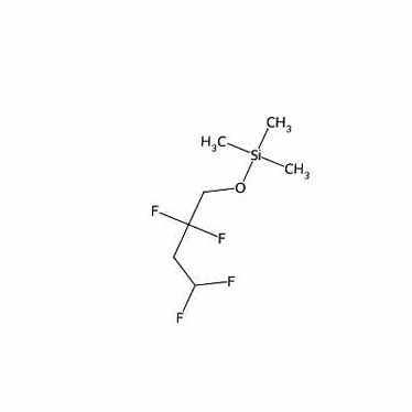 C[Si](C)(C)OCC(F)(F)CC(F)F